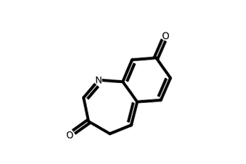 O=C1C=CC2=CCC(=O)C=NC2=C1